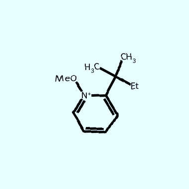 CCC(C)(C)c1cccc[n+]1OC